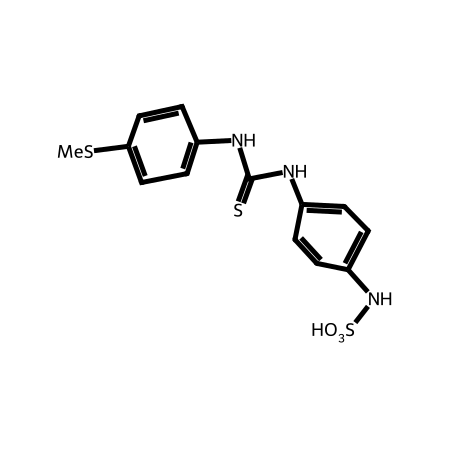 CSc1ccc(NC(=S)Nc2ccc(NS(=O)(=O)O)cc2)cc1